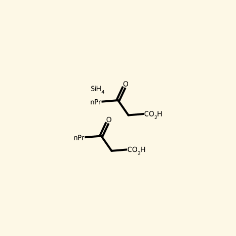 CCCC(=O)CC(=O)O.CCCC(=O)CC(=O)O.[SiH4]